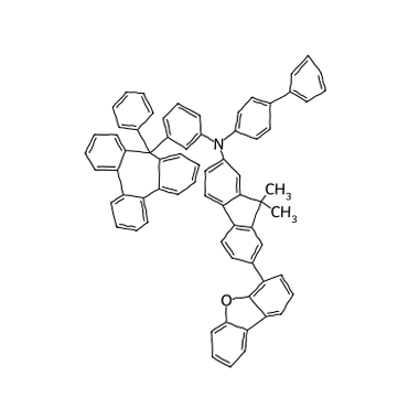 CC1(C)c2cc(-c3cccc4c3oc3ccccc34)ccc2-c2ccc(N(c3ccc(-c4ccccc4)cc3)c3cccc(C4(c5ccccc5)c5ccccc5-c5ccccc5-c5ccccc54)c3)cc21